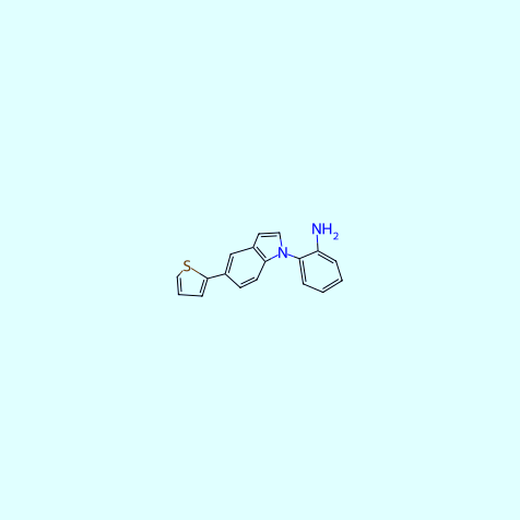 Nc1ccccc1-n1ccc2cc(-c3cccs3)ccc21